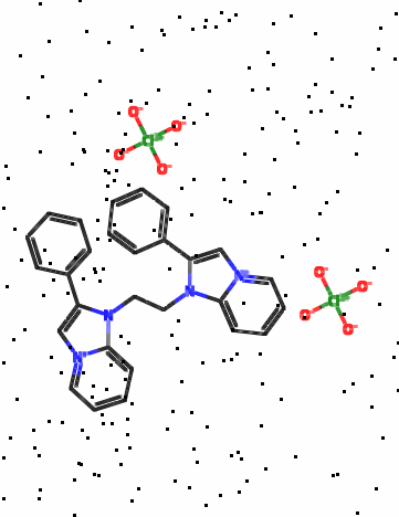 [O-][Cl+3]([O-])([O-])[O-].[O-][Cl+3]([O-])([O-])[O-].c1ccc(-c2c[n+]3ccccc3n2CCn2c(-c3ccccc3)c[n+]3ccccc23)cc1